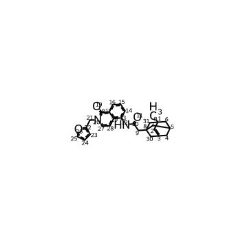 CC12C=C3CC(C1)CC(CC(=O)Nc1cccc4c(=O)n(Cc5ccco5)ccc14)(C3)C2